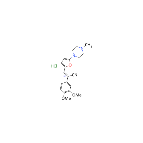 COc1ccc(/C(C#N)=C/c2ccc(N3CCN(C)CC3)o2)cc1OC.Cl